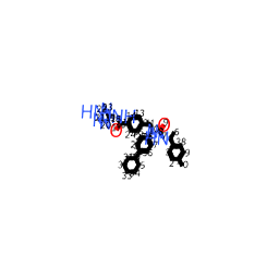 Cc1ccc(C(C)NC(=O)N(Cc2ccc(C(=O)Nc3nn[nH]n3)cc2)c2ccc(C3CCCCC3)cc2)cc1